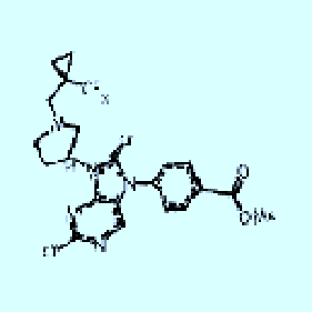 COC(=O)c1ccc(-n2c(=O)n([C@H]3CCN(CC4(C(F)(F)F)CC4)C3)c3nc(Cl)ncc32)cc1